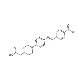 O=C(O)CN1CCN(c2ccc(/N=N/c3ccc([N+](=O)[O-])cc3)cc2)CC1